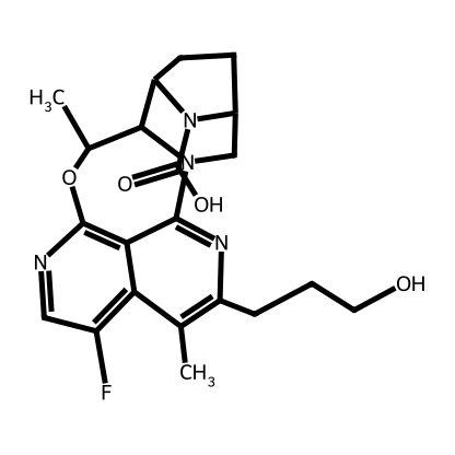 Cc1c(CCCO)nc2c3c(ncc(F)c13)OC(C)C1C3CCC(CN21)N3C(=O)O